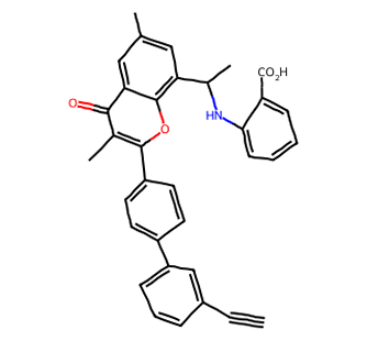 C#Cc1cccc(-c2ccc(-c3oc4c(C(C)Nc5ccccc5C(=O)O)cc(C)cc4c(=O)c3C)cc2)c1